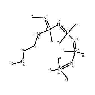 CN=P(C)(N=P(C)(C)N=P(C)(C)N=P(C)(C)C)NCCOC